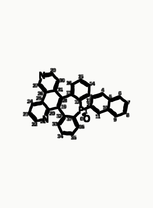 O=P1(c2ccc3ccccc3c2)c2ccccc2-c2c(c3ncccc3c3cnccc23)-c2ccccc21